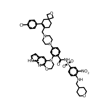 O=C(NS(=O)(=O)c1ccc(NCC2CCOCC2)c([N+](=O)[O-])c1)c1ccc(N2CCN(CC3=C(c4ccc(Cl)cc4)CC4(CC3)COC4)CC2)cc1N1CCOc2nc3[nH]ccc3cc21